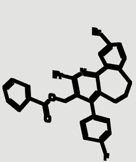 CC(C)c1nc2c(c(-c3ccc(F)cc3)c1COC(=O)c1ccccc1)CCCc1ccc(Br)cc1-2